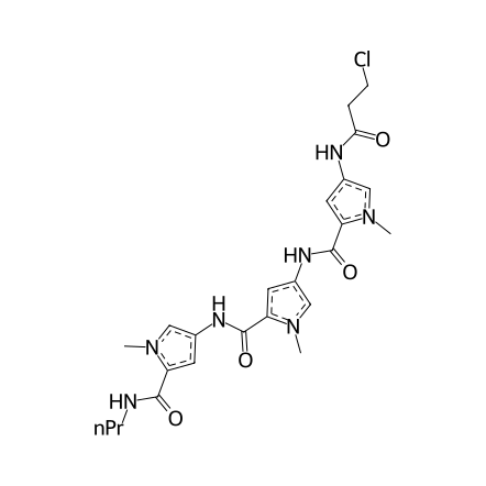 [CH2]CCNC(=O)c1cc(NC(=O)c2cc(NC(=O)c3cc(NC(=O)CCCl)cn3C)cn2C)cn1C